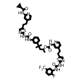 CC(CC(C)(C)c1cccc(NC(=O)Nc2ncc(CCc3ccnc(NC(=O)C4CC4)c3)s2)c1)OC(=O)Nc1cc(CCc2cnc(NC(=O)Nc3cc(C(F)(F)F)ccc3F)s2)ccn1